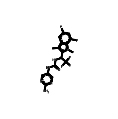 Cc1c(C(NC(=O)Nc2cnc(N)nc2)C(F)(F)F)n(C)c2c(F)cc(F)cc12